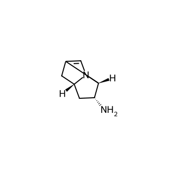 N[C@@H]1C[C@@H]2CC3=CN2[C@H]31